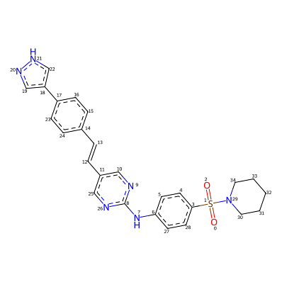 O=S(=O)(c1ccc(Nc2ncc(C=Cc3ccc(-c4cn[nH]c4)cc3)cn2)cc1)N1CCCCC1